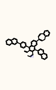 C=Cc1c(/C=C\C)c(-c2ccc3ccccc3c2)c2cc(C3=CCc4ccccc4C=C3)ccc2c1-c1ccc(-c2ccc3ccccc3c2)cc1